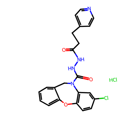 Cl.O=C(CCc1ccncc1)NNC(=O)N1Cc2ccccc2Oc2ccc(Cl)cc21